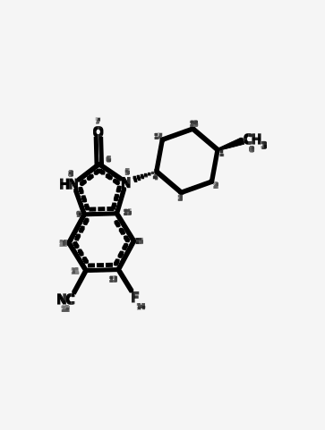 C[C@H]1CC[C@H](n2c(=O)[nH]c3cc(C#N)c(F)cc32)CC1